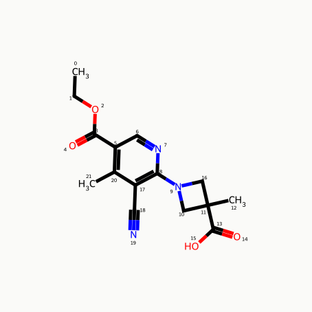 CCOC(=O)c1cnc(N2CC(C)(C(=O)O)C2)c(C#N)c1C